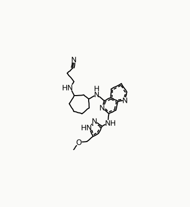 COCc1cc(Nc2cc3ncccc3c(NC3CCCCC(NCCC#N)C3)n2)n[nH]1